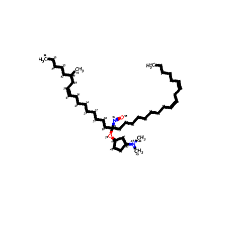 CCCCC/C=C\C/C=C\CCCCCCCCC(CCCCCCCC/C=C\CC(C)CCCCC)(N=O)OC1CCC(N(C)C)C1